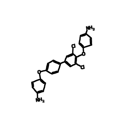 Nc1ccc(Oc2ccc(-c3cc(Cl)c(Oc4ccc(N)cc4)c(Cl)c3)cc2)cc1